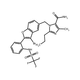 CCCc1nc(C)c(C(N)=O)n1Cc1ccc2oc(-c3ccccc3NS(=O)(=O)C(F)(F)F)c(Br)c2c1